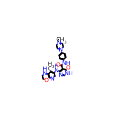 Cc1c(Nc2nc[nH]c(=O)c2C(=O)Nc2ccc(N3CCN(C)CC3)cc2)cnc2c1NCCO2